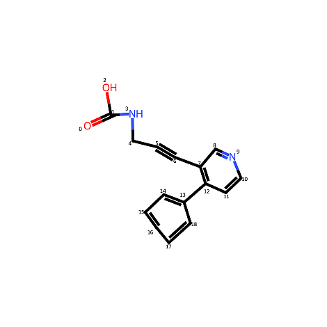 O=C(O)NCC#Cc1cnccc1-c1ccccc1